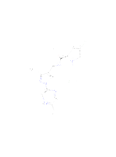 COc1nn(-c2cnc(C(F)(F)F)cn2)cc1CNC(=O)C1CC(F)CN1.Cl